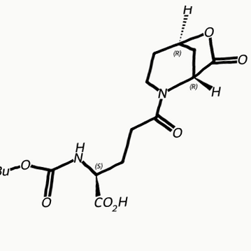 CC(C)(C)OC(=O)N[C@@H](CCC(=O)N1CC[C@@H]2C[C@@H]1C(=O)O2)C(=O)O